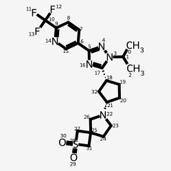 CC(C)n1nc(-c2ccc(C(F)(F)F)nc2)nc1[C@@H]1CC[C@H](N2CCC3(C2)CS(=O)(=O)C3)C1